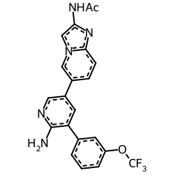 CC(=O)Nc1cn2cc(-c3cnc(N)c(-c4cccc(OC(F)(F)F)c4)c3)ccc2n1